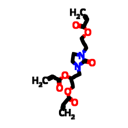 C=CC(=O)OCCN1CCN(CC(COC(=O)C=C)OC(=O)C=C)C1=O